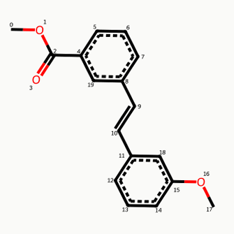 COC(=O)c1cccc(/C=C/c2cccc(OC)c2)c1